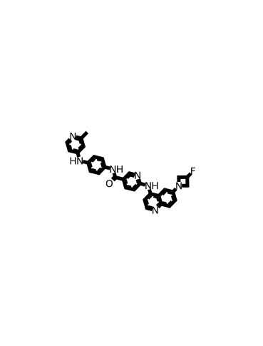 Cc1cc(Nc2ccc(NC(=O)c3ccc(Nc4ccnc5ccc(N6CC(F)C6)cc45)nc3)cc2)ccn1